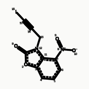 O=c1oc2cccc([N+](=O)[O-])c2n1CC#CI